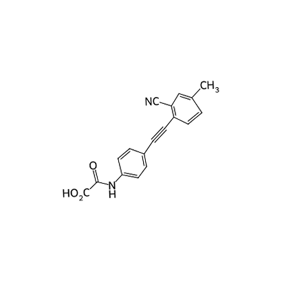 Cc1ccc(C#Cc2ccc(NC(=O)C(=O)O)cc2)c(C#N)c1